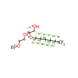 CCOCCOC(F)(CO)OC(F)(F)C(F)(F)C(F)(F)C(F)(F)C(F)(F)C(F)(F)F